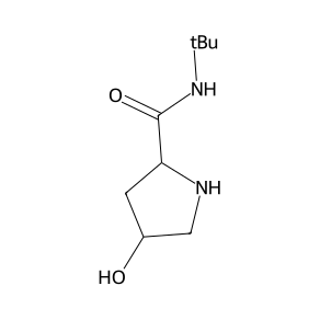 CC(C)(C)NC(=O)C1CC(O)CN1